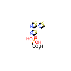 O=C(O)CP(=O)(O)O.c1cscn1.c1cscn1.c1cscn1